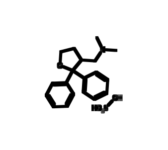 CN(C)CC1CCOC1(c1ccccc1)c1ccccc1.O=S(=O)(O)O